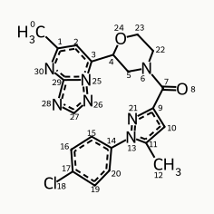 Cc1cc(C2CN(C(=O)c3cc(C)n(-c4ccc(Cl)cc4)n3)CCO2)n2ncnc2n1